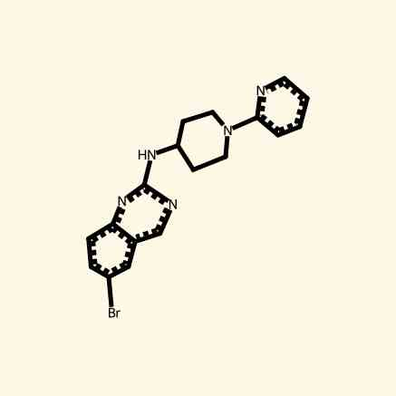 Brc1ccc2nc(NC3CCN(c4ccccn4)CC3)ncc2c1